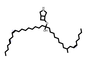 CCCC/C=C/C/C=C\CCCCCCCCC(O)(CCCCCCCCC(C)C/C=C\CCCCC)OC1CC2CNCC21